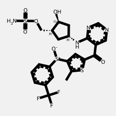 Cc1sc(C(=O)c2cncnc2N[C@@H]2C[C@H](COS(N)(=O)=O)[C@@H](O)C2)cc1[S+]([O-])c1cccc(C(F)(F)F)c1